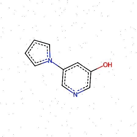 Oc1cncc(-n2cccc2)c1